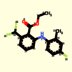 CCOC(=O)c1c(Nc2ccc(F)cc2C)cccc1C(F)F